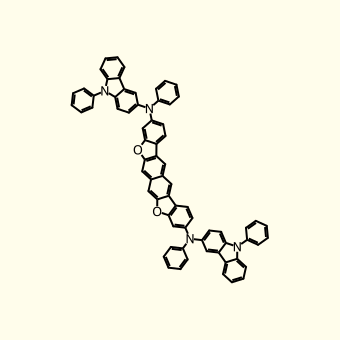 c1ccc(N(c2ccc3c(c2)oc2cc4cc5oc6cc(N(c7ccccc7)c7ccc8c(c7)c7ccccc7n8-c7ccccc7)ccc6c5cc4cc23)c2ccc3c(c2)c2ccccc2n3-c2ccccc2)cc1